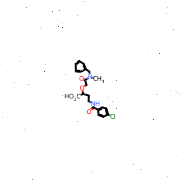 CN(Cc1ccccc1)C(=O)COC(CCNC(=O)c1ccc(Cl)cc1)C(=O)O